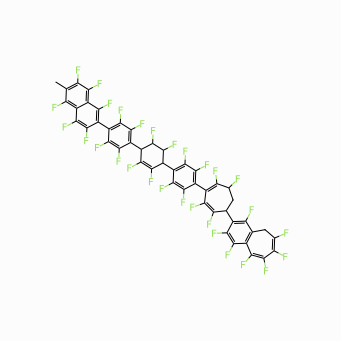 Cc1c(F)c(F)c2c(F)c(-c3c(F)c(F)c(C4C(F)=C(F)C(c5c(F)c(F)c(C6=C(F)C(F)CC(c7c(F)c(F)c8c(c7F)CC(F)=C(F)C(F)=C8F)C(F)=C6F)c(F)c5F)C(F)C4F)c(F)c3F)c(F)c(F)c2c1F